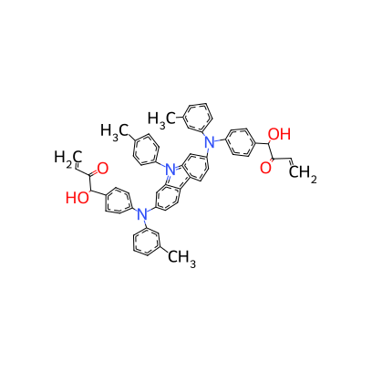 C=CC(=O)C(O)c1ccc(N(c2cccc(C)c2)c2ccc3c4ccc(N(c5ccc(C(O)C(=O)C=C)cc5)c5cccc(C)c5)cc4n(-c4ccc(C)cc4)c3c2)cc1